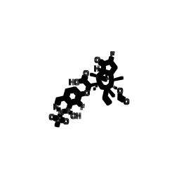 C=C[C@]1(C)C[C@@H](C(Oc2ccc3c(c2F)B(O)N(S(C)(=O)=O)N=C3)C(=O)O)[C@@]2(C)[C@H](C)CC[C@]3(CC(F)C(=O)[C@H]32)[C@@H](C)[C@@H]1OC=O